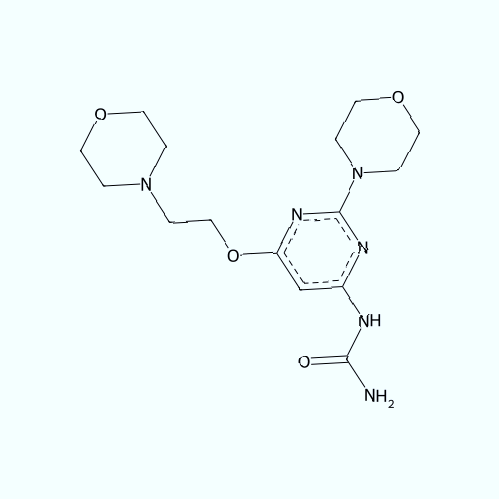 NC(=O)Nc1cc(OCCN2CCOCC2)nc(N2CCOCC2)n1